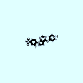 CS(=O)(=O)c1ccc(N2NCc3c(SC4CCNCC4)ncnc32)c(F)c1